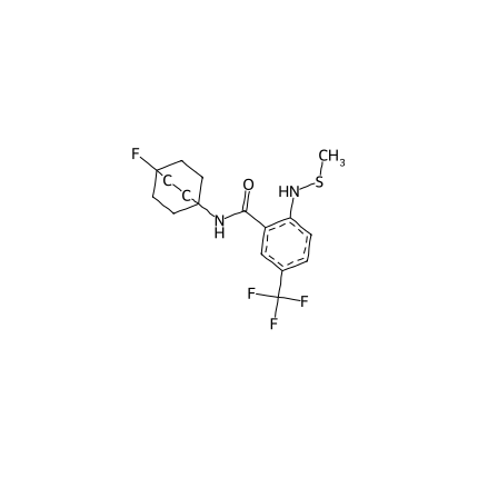 CSNc1ccc(C(F)(F)F)cc1C(=O)NC12CCC(F)(CC1)CC2